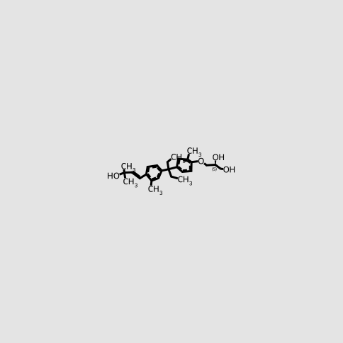 CCC(CC)(c1ccc(C=CC(C)(C)O)c(C)c1)c1ccc(OC[C@@H](O)CO)c(C)c1